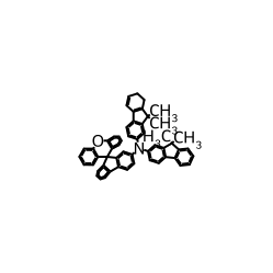 CC1(C)C2=C(C=CCC2)c2ccc(N(c3ccc4c(c3)C(C)(C)c3ccccc3-4)c3ccc4c(c3)C3(c5ccccc5Oc5ccccc53)c3ccccc3-4)cc21